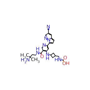 CC(C)(N)CCNC(=O)c1cnc(-c2ccc3cc(C#N)cnn23)cc1NC1CC(CNC(=O)O)C1